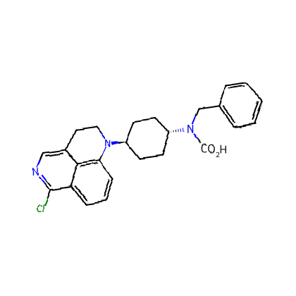 O=C(O)N(Cc1ccccc1)[C@H]1CC[C@H](N2CCc3cnc(Cl)c4cccc2c34)CC1